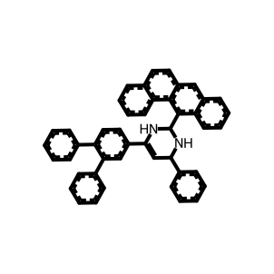 C1=C(c2ccc(-c3ccccc3)c(-c3ccccc3)c2)NC(c2c3ccccc3cc3ccc4ccccc4c23)NC1c1ccccc1